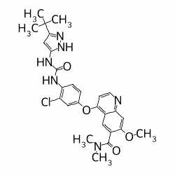 COc1cc2nccc(Oc3ccc(NC(=O)Nc4cc(C(C)(C)C)n[nH]4)c(Cl)c3)c2cc1C(=O)N(C)C